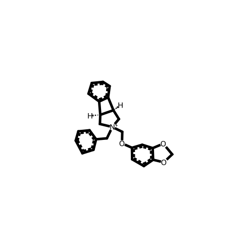 c1ccc(C[N+]2(COc3ccc4c(c3)OCO4)C[C@@H]3c4ccccc4[C@@H]3C2)cc1